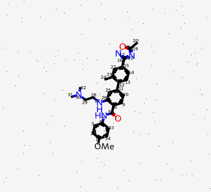 COc1ccc(NC(=O)c2ccc(-c3ccc(-c4noc(C)n4)cc3C)cc2NCCN(C)C)cc1